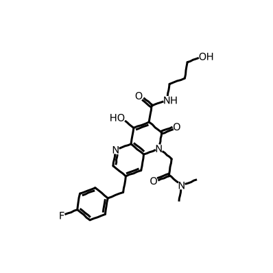 CN(C)C(=O)Cn1c(=O)c(C(=O)NCCCO)c(O)c2ncc(Cc3ccc(F)cc3)cc21